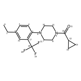 CCc1ccc(N2CCN(C(=O)C3CC3)CC2)c(C(F)(F)F)c1